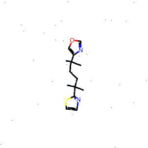 CC(C)(CCC(C)(C)c1nccs1)c1cocn1